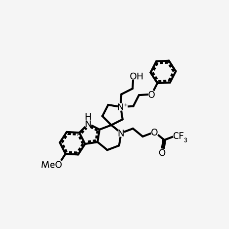 COc1ccc2[nH]c3c(c2c1)CCN(CCOC(=O)C(F)(F)F)C31CC[N+](CCO)(CCOc2ccccc2)C1